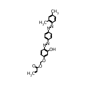 C=CC(=O)OCOc1ccc(N=Nc2ccc(N=Nc3ccc(C)cc3C)cc2)c(O)c1